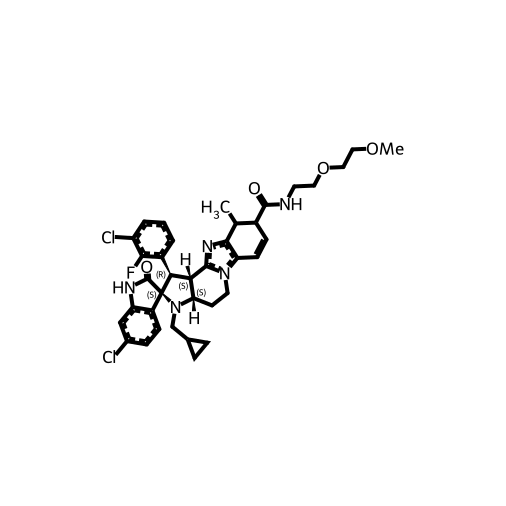 COCCOCCNC(=O)C1C=Cc2c(nc3n2CC[C@H]2[C@@H]3[C@H](c3cccc(Cl)c3F)[C@]3(C(=O)Nc4cc(Cl)ccc43)N2CC2CC2)C1C